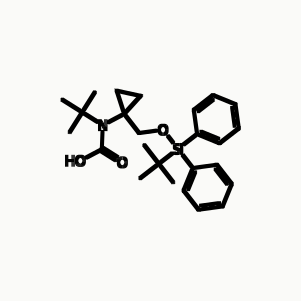 CC(C)(C)N(C(=O)O)C1(CO[Si](c2ccccc2)(c2ccccc2)C(C)(C)C)CC1